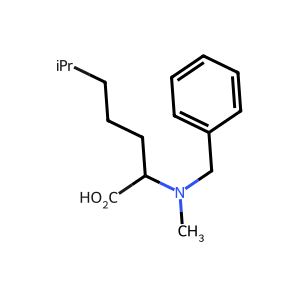 CC(C)CCCC(C(=O)O)N(C)Cc1ccccc1